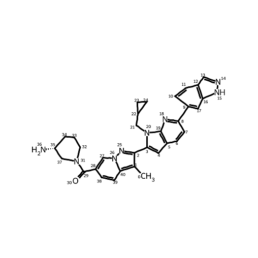 Cc1c(-c2cc3ccc(-c4ccc5cn[nH]c5c4)nc3n2CC2CC2)nn2cc(C(=O)N3CCC[C@@H](N)C3)ccc12